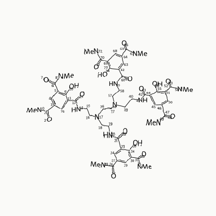 CNC(=O)c1cc(C(=O)NC)c(O)c(C(=O)NCCN(CCNC(=O)c2cc(C(=O)NC)cc(C(=O)NC)c2O)CCN(CCNC(=O)c2cc(C(=O)NC)cc(C(=O)NC)c2O)CCNC(=O)c2cc(C(=O)NC)cc(C(=O)NC)c2O)c1